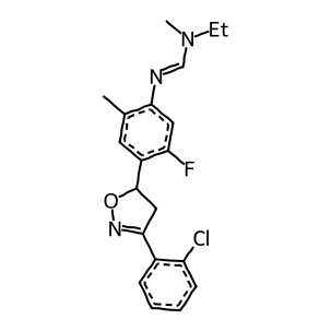 CCN(C)C=Nc1cc(F)c(C2CC(c3ccccc3Cl)=NO2)cc1C